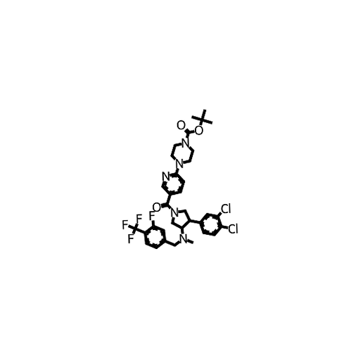 CN(Cc1ccc(C(F)(F)F)c(F)c1)C1CN(C(=O)c2ccc(N3CCN(C(=O)OC(C)(C)C)CC3)nc2)CC1c1ccc(Cl)c(Cl)c1